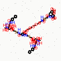 COc1cc2c(c(OC)c1OC)-c1ccc(OC)c(=O)cc1C(NC(=O)CCSSC(=O)NCCOCCOCCOCCOCCOCCOc1cc(C(=O)NCCSCCCO[C@]3(C(=O)O)C[C@H](O)[C@@H](NC(C)=O)[C@H]([C@H](O)[C@H](O)CNC(=O)c4ccc(-c5ccccc5)cc4)O3)ccc1C(=O)NCCSCCCO[C@]1(C(=O)O)C[C@H](O)[C@@H](NC(C)=O)[C@H]([C@H](O)[C@H](O)CNC(=O)c3ccc(-c4ccccc4)cc3)O1)CC2